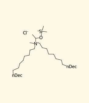 CCCCCCCCCCCCCCCCCC[N+](C)(CCCCCCCCCCCCCCCCCC)C(C)O[Si](C)(C)C.[Cl-]